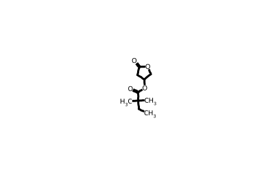 CCC(C)(C)C(=O)OC1COC(=O)C1